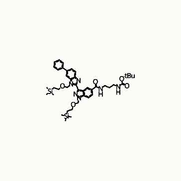 CC(C)(C)OC(=O)NCCCNC(=O)c1ccc2c(c1)c(-c1nc3ccc(-c4ccccc4)cc3n1COCC[Si](C)(C)C)nn2COCC[Si](C)(C)C